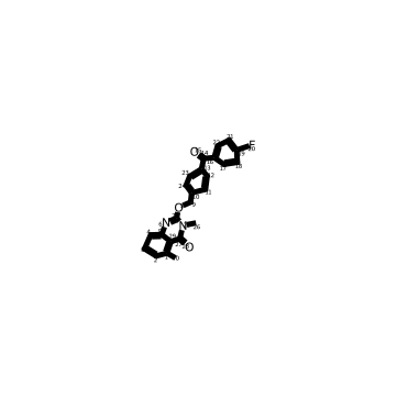 Cc1cccc2nc(OCc3ccc(C(=O)c4ccc(F)cc4)cc3)n(C)c(=O)c12